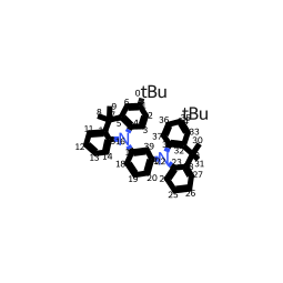 CC(C)(C)c1ccc2c(c1)C(C)(C)c1ccccc1N2c1cccc(N2c3ccccc3C(C)(C)c3cc(C(C)(C)C)ccc32)c1